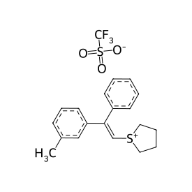 Cc1cccc(C(=C[S+]2CCCC2)c2ccccc2)c1.O=S(=O)([O-])C(F)(F)F